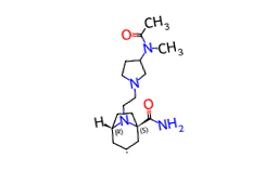 CC(=O)N(C)C1CCN(CCN2[C@@H]3C[CH]C[C@@]2(C(N)=O)CC3)C1